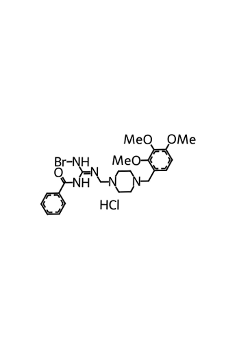 COc1ccc(CN2CCN(CN=C(NBr)NC(=O)c3ccccc3)CC2)c(OC)c1OC.Cl